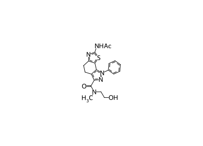 CC(=O)Nc1nc2c(s1)-c1c(c(C(=O)N(C)CCO)nn1-c1ccccc1)CC2